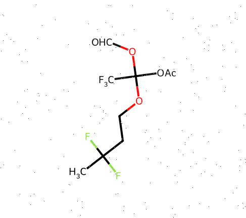 CC(=O)OC(OC=O)(OCCC(C)(F)F)C(F)(F)F